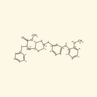 COC(=O)C(Cc1ccccc1)NC1CCN(Cc2cccc(Oc3ccccc3OC)c2)CC1